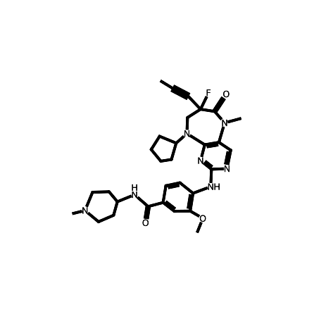 CC#CC1(F)CN(C2CCCC2)c2nc(Nc3ccc(C(=O)NC4CCN(C)CC4)cc3OC)ncc2N(C)C1=O